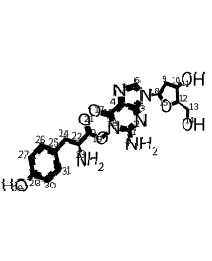 Nc1nc2c(ncn2[C@H]2CC(O)[C@@H](CO)O2)c(=O)n1OC(=O)[C@@H](N)Cc1ccc(O)cc1